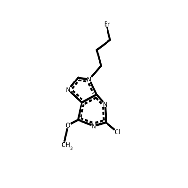 COc1nc(Cl)nc2c1ncn2CCCBr